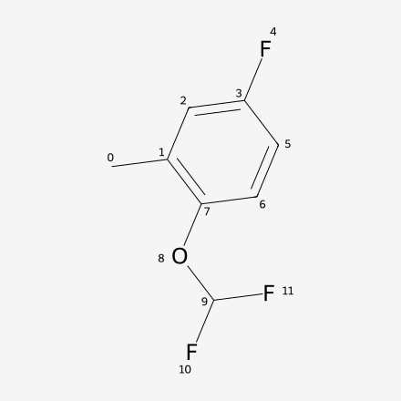 Cc1cc(F)ccc1OC(F)F